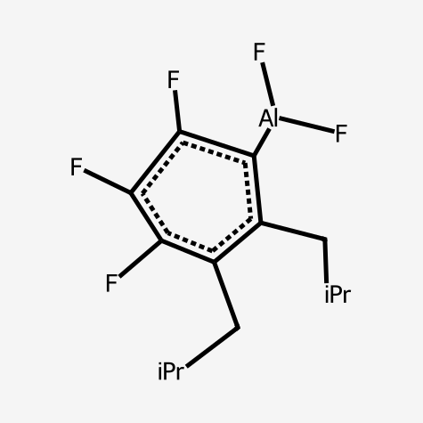 CC(C)Cc1c(F)c(F)c(F)[c]([Al]([F])[F])c1CC(C)C